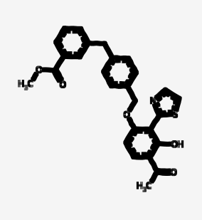 COC(=O)c1cccc(Cc2ccc(COc3ccc(C(C)=O)c(O)c3-c3nccs3)cc2)c1